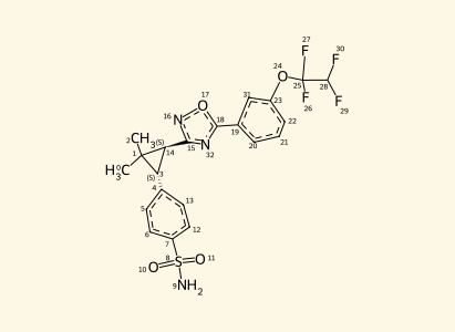 CC1(C)[C@@H](c2ccc(S(N)(=O)=O)cc2)[C@@H]1c1noc(-c2cccc(OC(F)(F)C(F)F)c2)n1